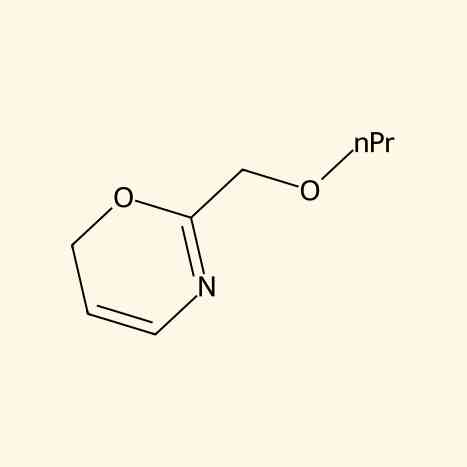 CCCOCC1=NC=CCO1